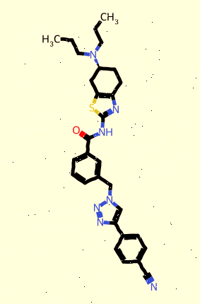 CCCN(CCC)[C@H]1CCc2nc(NC(=O)c3cccc(Cn4cc(-c5ccc(C#N)cc5)nn4)c3)sc2C1